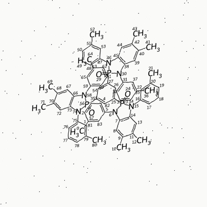 Cc1cccc(N2c3cc(C)c(C)cc3N(c3cccc(C)c3)P2(=O)c2cc(P3(=O)N(c4cccc(C)c4)c4cc(C)c(C)cc4N3c3cccc(C)c3)cc(P3(=O)N(c4cccc(C)c4)c4cc(C)c(C)cc4N3c3cccc(C)c3)c2)c1